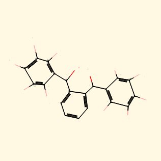 Bc1c(B)c(B)c(C(O)c2ccccc2C(O)c2c(B)c(B)c(B)c(B)c2B)c(B)c1B